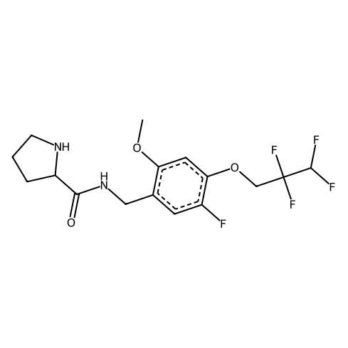 COc1cc(OCC(F)(F)C(F)F)c(F)cc1CNC(=O)C1CCCN1